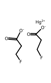 O=C([O-])CCF.O=C([O-])CCF.[Hg+2]